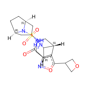 NC1[C@@H]2C[C@H]1CN(S(=O)(=O)N1[C@@H]3CC[C@H]1CC(NC(=O)c1cc(C4COC4)on1)C3)C2